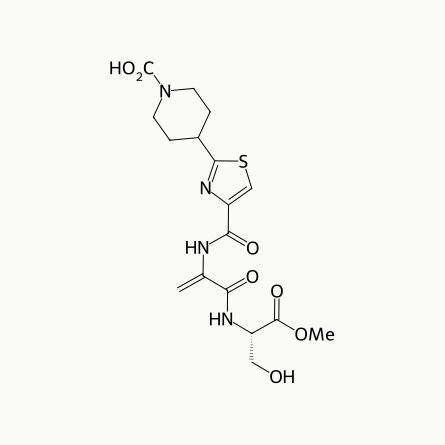 C=C(NC(=O)c1csc(C2CCN(C(=O)O)CC2)n1)C(=O)N[C@@H](CO)C(=O)OC